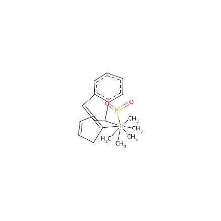 [CH3][Ti]([CH3])([CH3])([CH3])([CH3])([C]1=CC=CC1)([CH]1C=Cc2ccccc21)[P](=O)=O